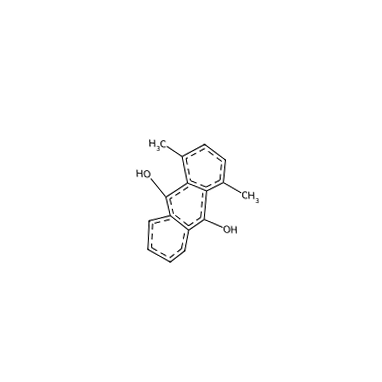 Cc1ccc(C)c2c(O)c3ccccc3c(O)c12